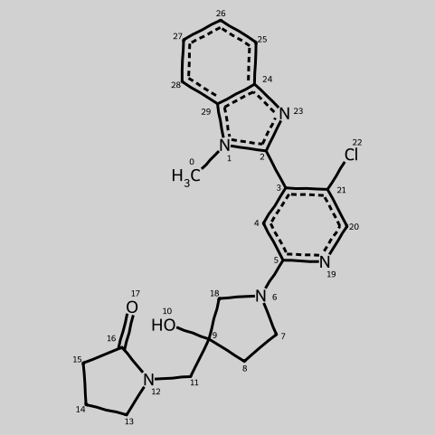 Cn1c(-c2cc(N3CCC(O)(CN4CCCC4=O)C3)ncc2Cl)nc2ccccc21